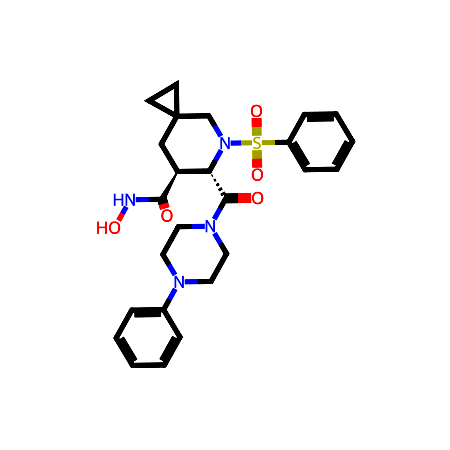 O=C(NO)[C@H]1CC2(CC2)CN(S(=O)(=O)c2ccccc2)[C@@H]1C(=O)N1CCN(c2ccccc2)CC1